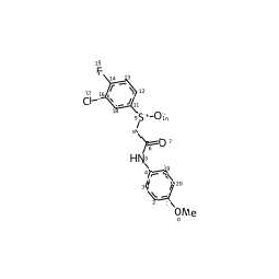 COc1ccc(NC(=O)C[S+]([O-])c2ccc(F)c(Cl)c2)cc1